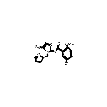 COc1ccc(Cl)cc1C(=O)/N=c1\scc(C(C)(C)C)n1C[C@H]1CCCO1